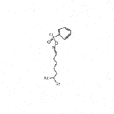 CCC(C#N)CCCCC=NOS(=O)(=O)c1ccccc1